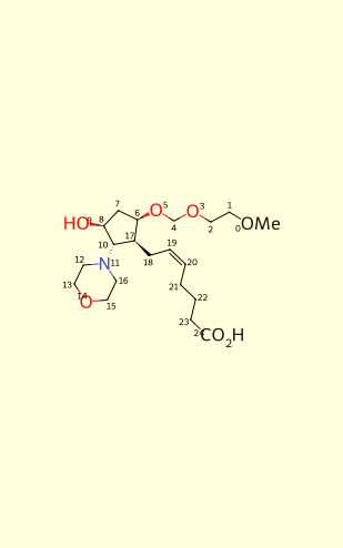 COCCOCO[C@@H]1C[C@H](O)[C@@H](N2CCOCC2)[C@@H]1C/C=C\CCCC(=O)O